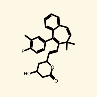 Cc1cc(C2=C(C=CC3CC(O)CC(=O)O3)C(C)(C)C=Cc3ccccc32)ccc1F